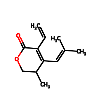 C=CC1=C(C=C(C)C)C(C)COC1=O